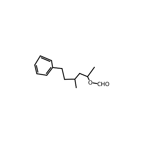 CC(CCc1ccccc1)CC(C)OC=O